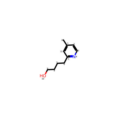 Cc1ccnc(CCCCO)c1